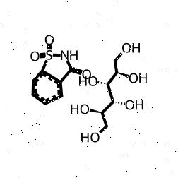 O=C1NS(=O)(=O)c2ccccc21.OC[C@@H](O)[C@@H](O)[C@H](O)[C@H](O)CO